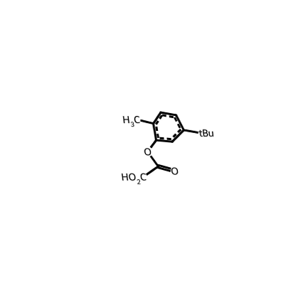 Cc1ccc(C(C)(C)C)cc1OC(=O)C(=O)O